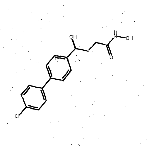 O=C(CCC(O)c1ccc(-c2ccc(Cl)cc2)cc1)NO